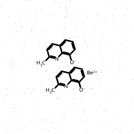 Cc1ccc2cccc([O-])c2n1.Cc1ccc2cccc([O-])c2n1.[Be+2]